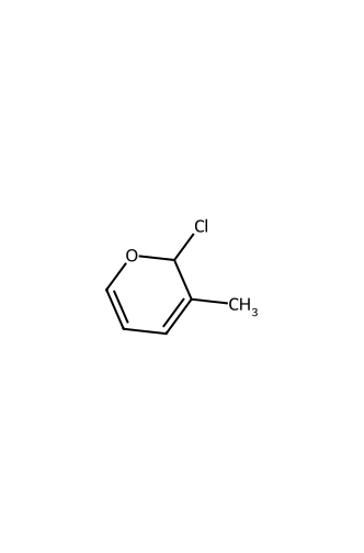 CC1=CC=COC1Cl